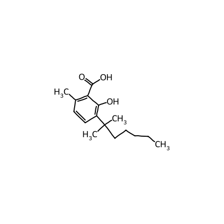 CCCCCC(C)(C)c1ccc(C)c(C(=O)O)c1O